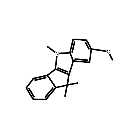 COc1ccc2c(c1)c1c(n2C)-c2ccccc2C1(C)C